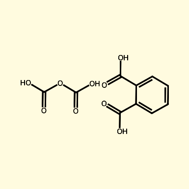 O=C(O)OC(=O)O.O=C(O)c1ccccc1C(=O)O